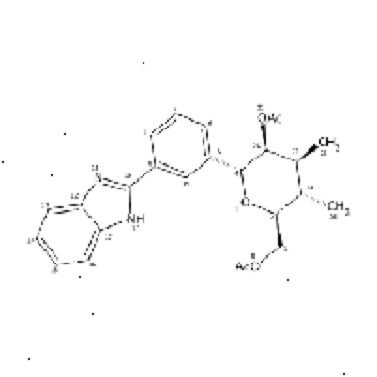 CC(=O)OC[C@H]1O[C@H](c2cccc(-c3nc4ccccc4[nH]3)c2)[C@@H](OC(C)=O)[C@@H](C)[C@@H]1C